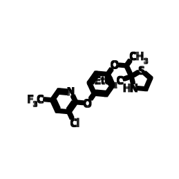 CCOC(=O)C1(C(C)Oc2ccc(Oc3ncc(C(F)(F)F)cc3Cl)cc2)NCCS1